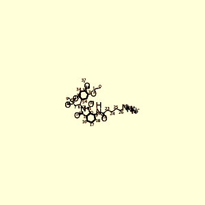 CCOc1cc(C(CS(C)(=O)=O)N2C(=O)c3cccc(NC(=O)CCCCN=[N+]=[N-])c3C2=O)ccc1OC